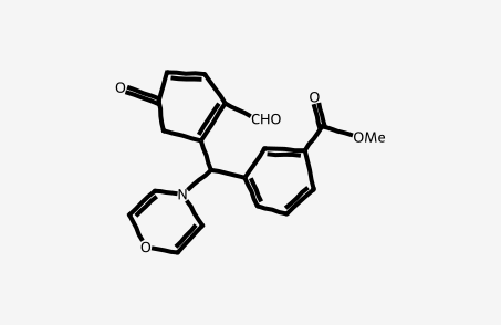 COC(=O)c1cccc(C(C2=C(C=O)C=CC(=O)C2)N2C=COC=C2)c1